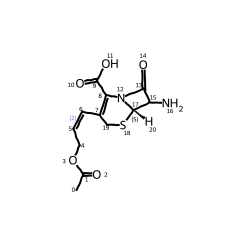 CC(=O)OC/C=C\C1=C(C(=O)O)N2C(=O)C(N)[C@@H]2SC1